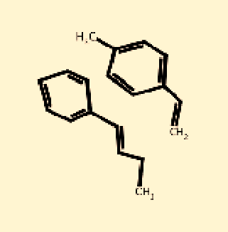 C=Cc1ccc(C)cc1.CCC=Cc1ccccc1